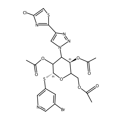 CC(=O)OCC1O[C@H](Sc2cncc(Br)c2)C(OC(C)=O)C(n2cc(-c3nc(Cl)cs3)nn2)[C@H]1OC(C)=O